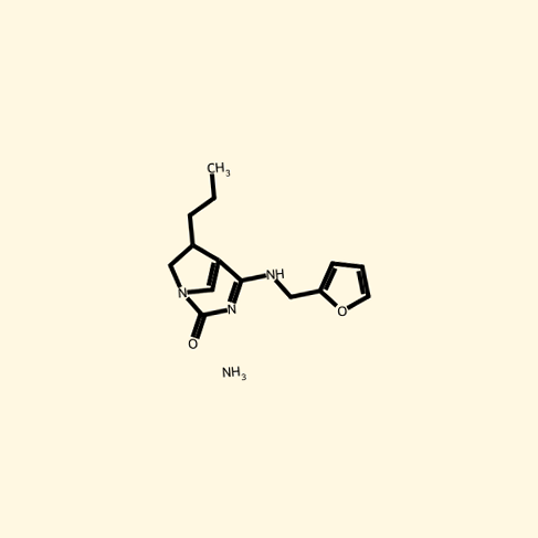 CCCC1Cn2cc1c(NCc1ccco1)nc2=O.N